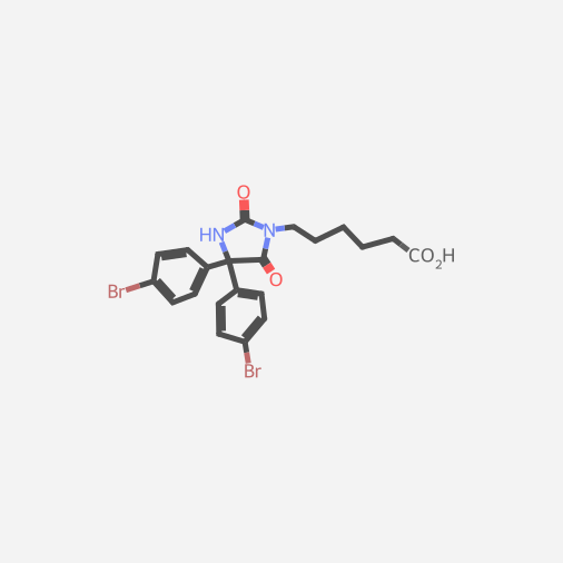 O=C(O)CCCCCN1C(=O)NC(c2ccc(Br)cc2)(c2ccc(Br)cc2)C1=O